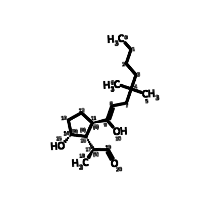 CCCCC(C)(C)CC=C(O)[C@@H]1CC[C@@H](O)[C@H]1[C@H](C)C=O